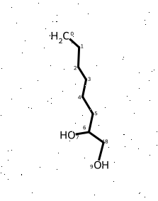 [CH2]CCCCCC(O)[CH]O